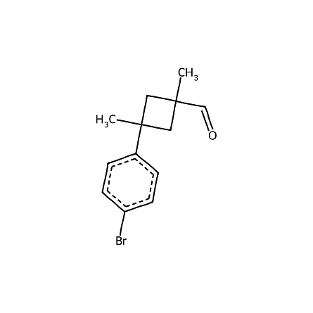 CC1(C=O)CC(C)(c2ccc(Br)cc2)C1